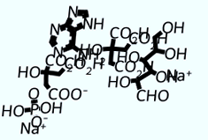 Nc1ncnc2nc[nH]c12.O=C(O)CC(O)(CC(=O)O)C(=O)O.O=C([O-])CC(O)(CC(=O)O)C(=O)O.O=CC(O)C(O)C(O)C(O)CO.O=P([O-])(O)O.[Na+].[Na+]